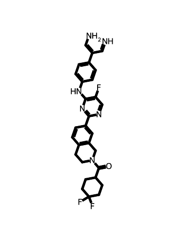 N=C/C(=C\N)c1ccc(Nc2nc(-c3ccc4c(c3)CN(C(=O)C3CCC(F)(F)CC3)CC4)ncc2F)cc1